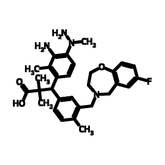 Cc1ccc(C(c2ccc(N(C)N)c(N)c2C)C(C)(C)C(=O)O)cc1CN1CCOc2ccc(F)cc2C1